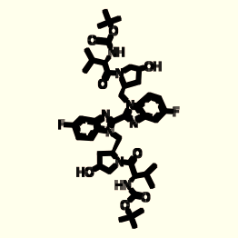 CC(C)[C@@H](NC(=O)OC(C)(C)C)C(=O)N1CC(O)C[C@H]1Cn1c(-c2nc3cc(F)ccc3n2C[C@@H]2CC(O)CN2C(=O)[C@H](NC(=O)OC(C)(C)C)C(C)C)nc2cc(F)ccc21